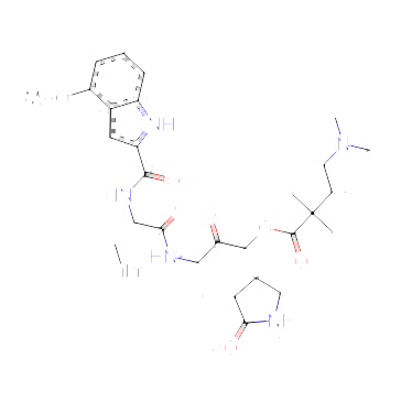 COc1cccc2[nH]c(C(=O)N[C@@H](CC(C)C)C(=O)N[C@@H](C[C@@H]3CCNC3=O)C(=O)COC(=O)C(C)(C)CCN(C)C)cc12